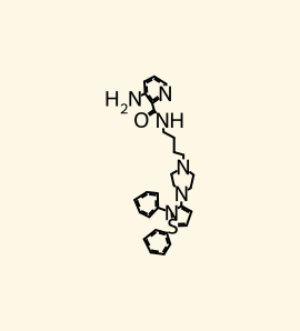 Nc1cccnc1C(=O)NCCCCN1CCN(C2=CC=S(c3ccccc3)N2c2ccccc2)CC1